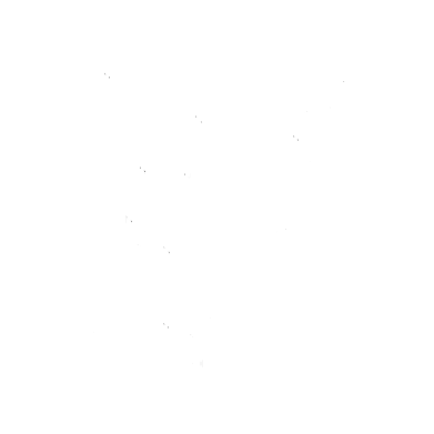 Cn1c(/C(=N\OCc2cc3c(Cl)cccc3n2C(=O)OC(C)(C)C)c2ccncc2)nc2c1c(=O)n(Cc1cc3c(Cl)cccc3n1C(=O)O)c(=O)n2C